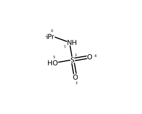 C[C](C)NS(=O)(=O)O